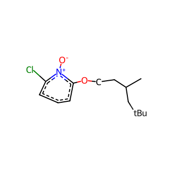 CC(CCOc1cccc(Cl)[n+]1[O-])CC(C)(C)C